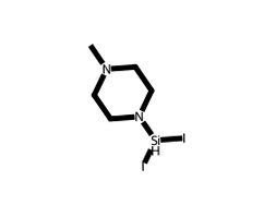 CN1CCN([SiH](I)I)CC1